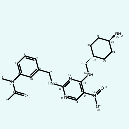 CC(=O)N(C)c1cccc(CNc2ncc([N+](=O)[O-])c(NC[C@H]3CC[C@H](N)CC3)n2)c1